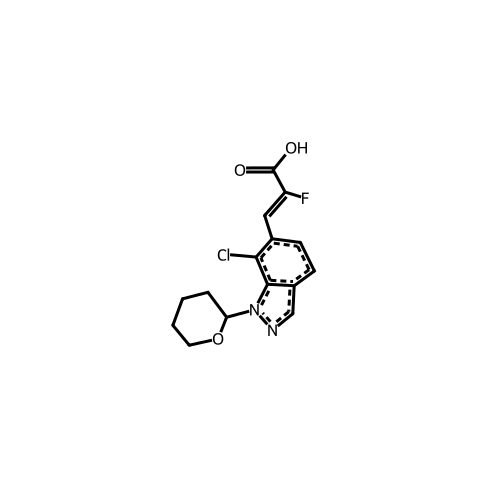 O=C(O)/C(F)=C/c1ccc2cnn(C3CCCCO3)c2c1Cl